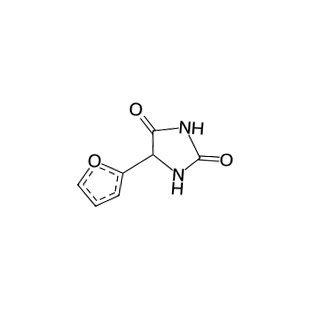 O=C1NC(=O)C(c2ccco2)N1